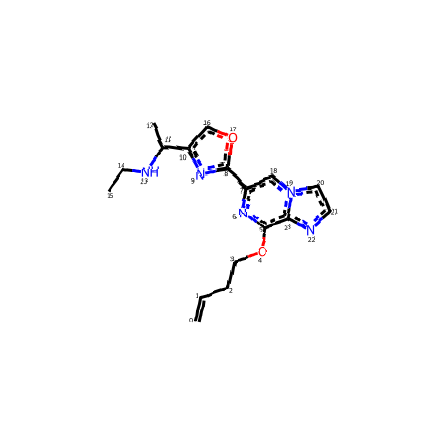 C=CCCOc1nc(-c2nc(C(C)NCC)co2)cn2ccnc12